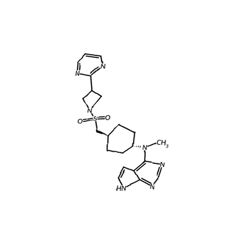 CN(c1ncnc2[nH]ccc12)[C@H]1CC[C@H](CS(=O)(=O)N2CC(c3ncccn3)C2)CC1